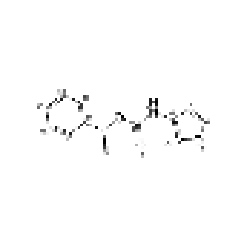 C[C@H](OC(=O)Nc1ccon1)c1ccccc1